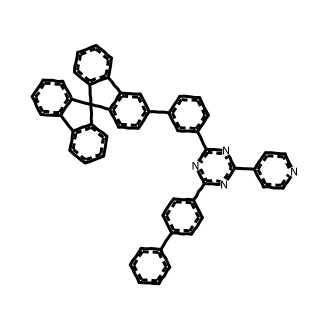 c1ccc(-c2ccc(-c3nc(-c4ccncc4)nc(-c4cccc(-c5ccc6c(c5)-c5ccccc5C65c6ccccc6-c6ccccc65)c4)n3)cc2)cc1